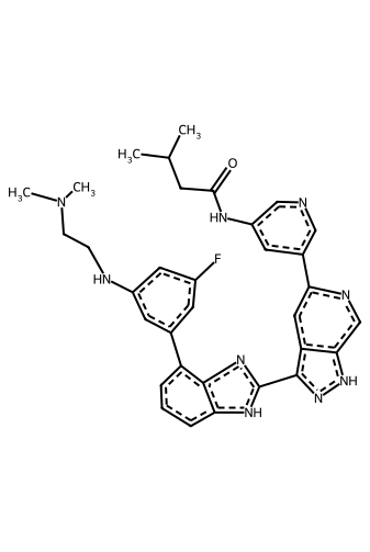 CC(C)CC(=O)Nc1cncc(-c2cc3c(-c4nc5c(-c6cc(F)cc(NCCN(C)C)c6)cccc5[nH]4)n[nH]c3cn2)c1